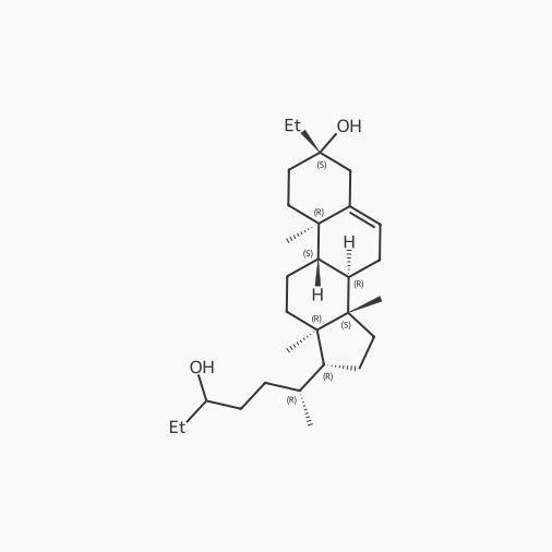 CCC(O)CC[C@@H](C)[C@H]1CC[C@@]2(C)[C@@H]3CC=C4C[C@](O)(CC)CC[C@]4(C)[C@H]3CC[C@]12C